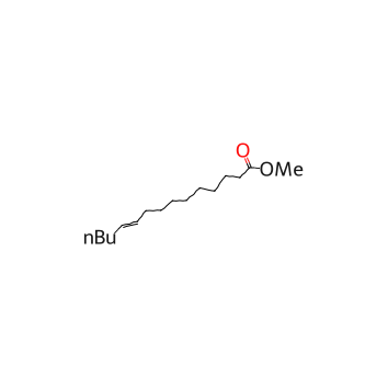 CCCCC=CCCCCCCCCC(=O)OC